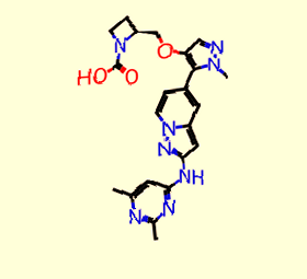 Cc1cc(Nc2cc3cc(-c4c(OC[C@@H]5CCN5C(=O)O)cnn4C)ccn3n2)nc(C)n1